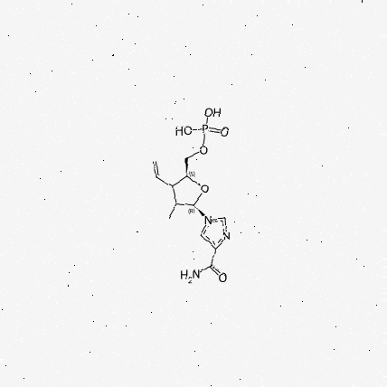 C=CC1C(C)[C@H](n2cnc(C(N)=O)c2)O[C@@H]1COP(=O)(O)O